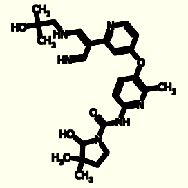 Cc1nc(NC(=O)N2CCC(C)(C)C2O)ccc1Oc1ccnc(/C(C=N)=C/NCC(C)(C)O)c1